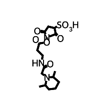 CC1CCCC(C)N1CC(=O)NCCC(=O)ON1C(=O)CC(S(=O)(=O)O)C1=O